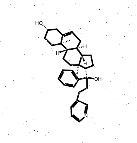 C[C@]12CC[C@H]3[C@@H](CC=C4C[C@@H](O)CC[C@@]43C)[C@@H]1CC[C@@H]2C(O)(CCc1cccnc1)c1ccccc1